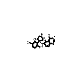 Cn1cnc2ccc(N[C@@]3(c4c(F)ccc(Cl)c4Cl)CCNC3)c(F)c2c1=O